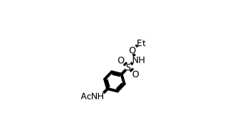 CCONS(=O)(=O)c1ccc(NC(C)=O)cc1